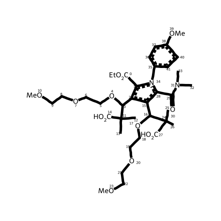 CCOC(=O)c1c(C(OCCOCCOC)C(C)(C)C(=O)O)c(C(OCCOCCOC)C(C)(C)C(=O)O)c(C(=O)N(C)C)n1-c1ccc(OC)cc1